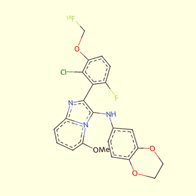 COc1cccc2nc(-c3c(F)ccc(OC[18F])c3Cl)c(Nc3ccc4c(c3)OCCO4)n12